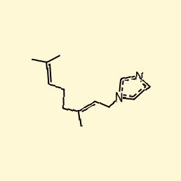 CC(C)=CCC/C(C)=C/Cn1ccnc1